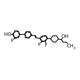 CCCC(O)C1CCC(c2ccc(/C=C/c3ccc(-c4ccc(O)c(F)c4)cc3)c(F)c2F)CC1